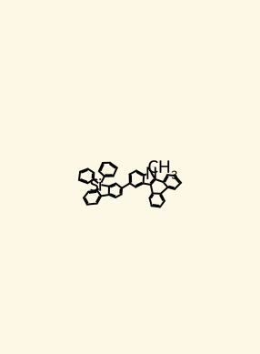 Cn1c2ccc(-c3ccc4c(c3)[Si](c3ccccc3)(c3ccccc3)c3ccccc3-4)cc2c2c3ccccc3c3ccccc3c21